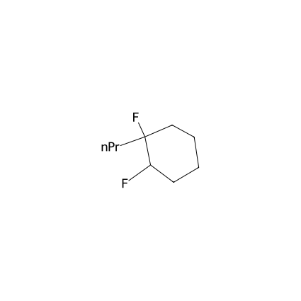 CCCC1(F)CCCCC1F